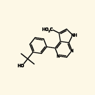 CC(C)(O)c1cccc(-c2ncnc3[nH]cc(C(=O)O)c23)c1